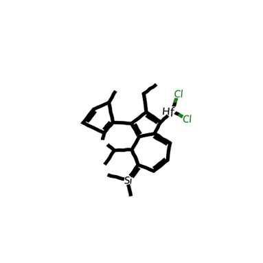 CCC1=[C]([Hf]([Cl])[Cl])C2=CC=CC(=[Si](C)C)C(C(C)C)C2=C1C1=C(C)C=CC1C